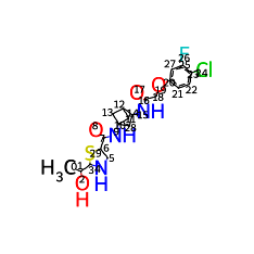 CC(O)C1NCC(C(=O)NC23CC(C2)C(NC(=O)COc2ccc(Cl)c(F)c2)C3)S1